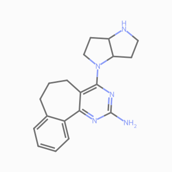 Nc1nc2c(c(N3CCC4NCCC43)n1)CCCc1ccccc1-2